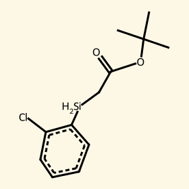 CC(C)(C)OC(=O)C[SiH2]c1ccccc1Cl